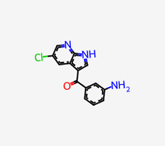 Nc1cccc(C(=O)c2c[nH]c3ncc(Cl)cc23)c1